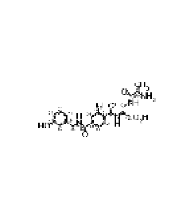 C[C@@H](N)C(=O)NC[C@H](NC(=O)c1ccc(C(=O)NCc2cccc(O)c2)cc1Cl)C(=O)O